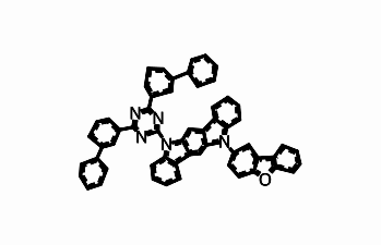 c1ccc(-c2cccc(-c3nc(-c4cccc(-c5ccccc5)c4)nc(-n4c5ccccc5c5cc6c(cc54)c4ccccc4n6-c4ccc5oc6ccccc6c5c4)n3)c2)cc1